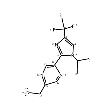 CC(C)n1cc(C(F)(F)F)nc1-c1cnc(CN)cn1